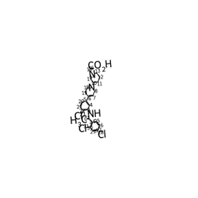 CC(Nc1cc(C2=CCN([C@H]3CCCN(CC(=O)O)C3)CC2)ccc1Cl)c1ccc(Cl)cc1Cl